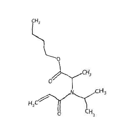 C=CC(=O)N(C(C)C)C(C)C(=O)OCCCC